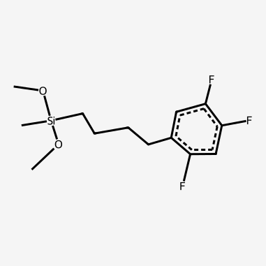 CO[Si](C)(CCCCc1cc(F)c(F)cc1F)OC